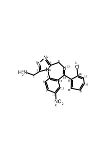 NCc1nnc2n1-c1ccc([N+](=O)[O-])cc1C(c1ccccc1Cl)=NC2